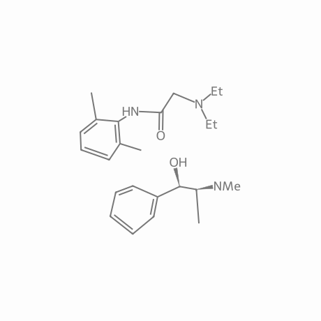 CCN(CC)CC(=O)Nc1c(C)cccc1C.CN[C@@H](C)[C@H](O)c1ccccc1